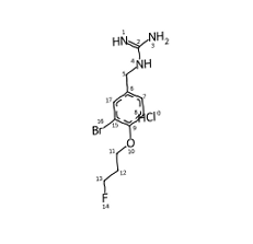 Cl.N=C(N)NCc1ccc(OCCCF)c(Br)c1